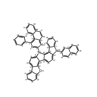 c1ccc(-c2nc(-n3c4ccc5c6ccccc6oc5c4c4ccc5c(c6ccccc6n5-c5ccc6ccccc6c5)c43)nc3ccc4ccccc4c23)cc1